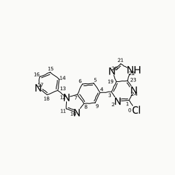 Clc1nc(-c2ccc3c(c2)ncn3-c2cccnc2)c2nc[nH]c2n1